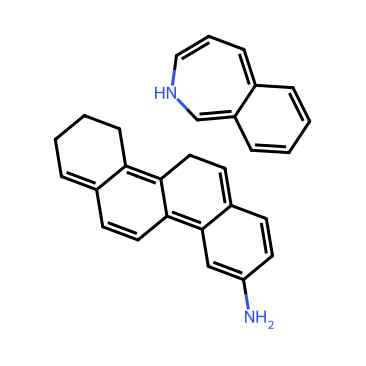 C1=CNC=c2ccccc2=C1.Nc1ccc2c(c1)=c1ccc3c(c1CC=2)CCCC=3